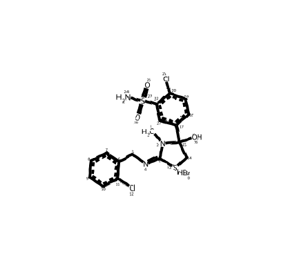 Br.CN1C(=NCc2ccccc2Cl)SCC1(O)c1ccc(Cl)c(S(N)(=O)=O)c1